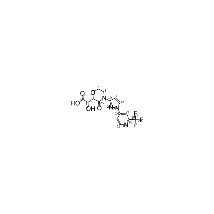 O=C(O)C(O)C1OCCN(c2ccn(-c3ccnc(C(F)(F)F)c3)n2)C1=O